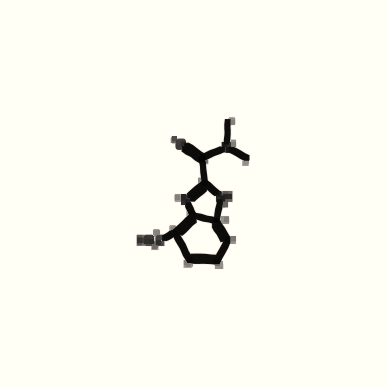 CN(C)C(=O)c1nc2c(C(=O)O)cccc2[nH]1